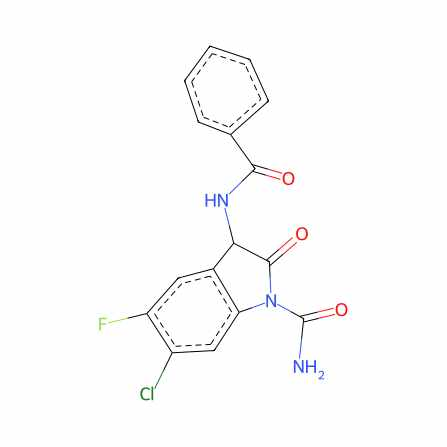 NC(=O)N1C(=O)C(NC(=O)c2ccccc2)c2cc(F)c(Cl)cc21